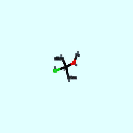 CCCCCC[Si](Cl)(CCCCCC)OCC